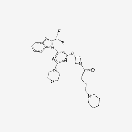 O=C(CCCN1CCCCC1)N1CC(Oc2cc(-n3c(C(F)F)nc4ccccc43)nc(N3CCOCC3)n2)C1